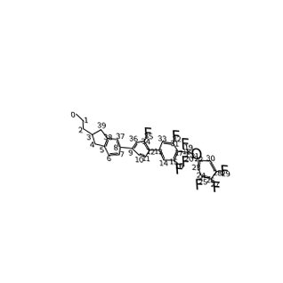 CCCC1Cc2ccc(-c3ccc(-c4cc(F)c(C(F)(F)Oc5cc(F)c(F)c(F)c5)c(F)c4)c(F)c3)cc2C1